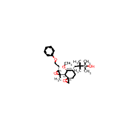 CO[C@@H]1[C@H](CC(C)(C)[Si](C)(C)O)CC[C@]2(CO2)[C@H]1C1(C)O[C@@H]1CCOc1ccccc1